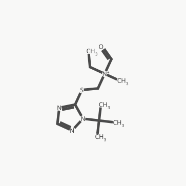 CC[N+](C)(C=O)CSc1ncnn1C(C)(C)C